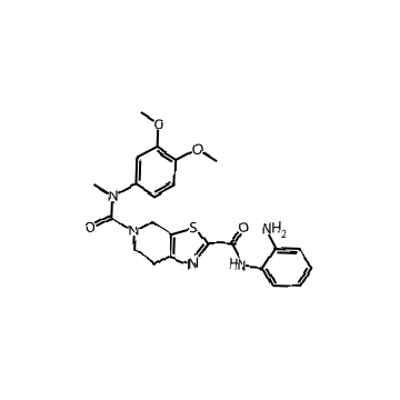 COc1ccc(N(C)C(=O)N2CCc3nc(C(=O)Nc4ccccc4N)sc3C2)cc1OC